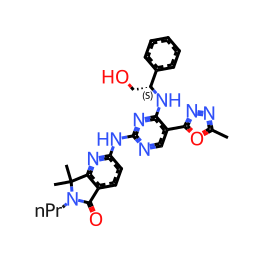 CCCN1C(=O)c2ccc(Nc3ncc(-c4nnc(C)o4)c(N[C@H](CO)c4ccccc4)n3)nc2C1(C)C